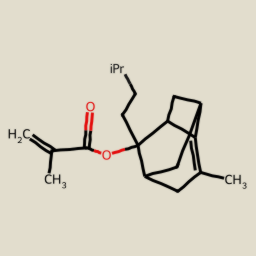 C=C(C)C(=O)OC1(CCC(C)C)C2CC(C)=C3C(C2)CC31